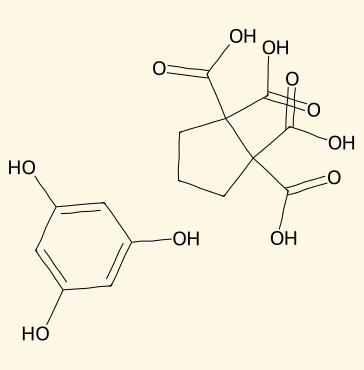 O=C(O)C1(C(=O)O)CCCC1(C(=O)O)C(=O)O.Oc1cc(O)cc(O)c1